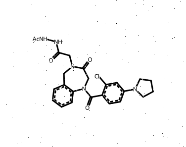 CC(=O)NNC(=O)CN1Cc2ccccc2N(C(=O)c2ccc(N3CCCC3)cc2Cl)CC1=O